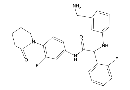 NCc1cccc(NC(C(=O)Nc2ccc(N3CCCCC3=O)c(F)c2)c2ccccc2F)c1